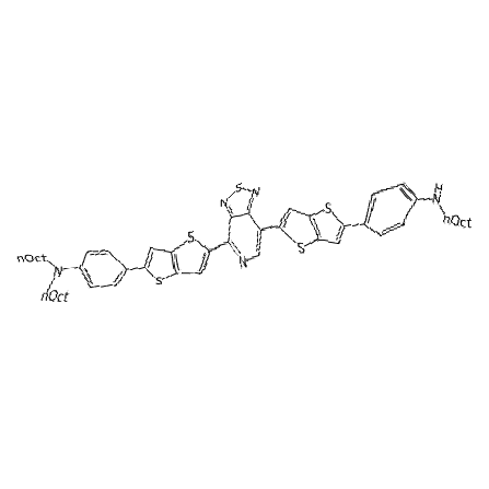 CCCCCCCCNc1ccc(-c2cc3sc(-c4cnc(-c5cc6sc(-c7ccc(N(CCCCCCCC)CCCCCCCC)cc7)cc6s5)c5nsnc45)cc3s2)cc1